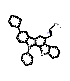 C/C=C/c1cc2c3cc(-c4ccccc4)ccc3n(-c3ccccc3)c2c2sc3ccccc3c12